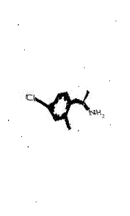 Cc1cc(Cl)ccc1[C@@H](C)N